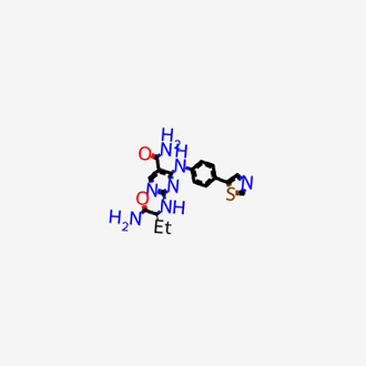 CC[C@@H](Nc1ncc(C(N)=O)c(Nc2ccc(-c3cncs3)cc2)n1)C(N)=O